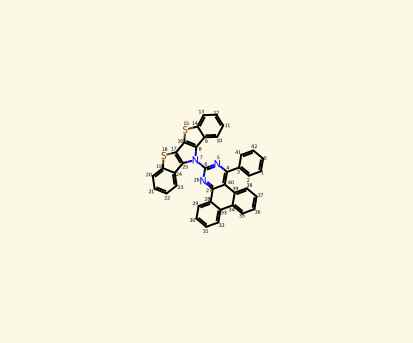 c1ccc(-c2nc(-n3c4c5ccccc5sc4c4sc5ccccc5c43)nc3c4ccccc4c4ccccc4c23)cc1